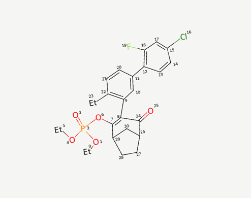 CCOP(=O)(OCC)OC1=C(c2cc(-c3ccc(Cl)cc3F)ccc2CC)C(=O)C2CCC1C2